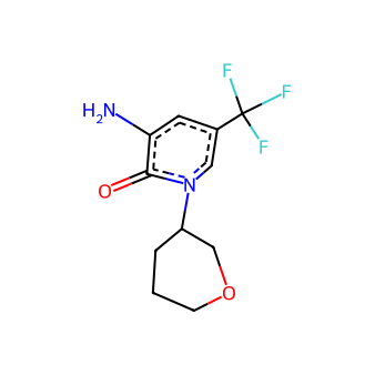 Nc1cc(C(F)(F)F)cn(C2CCCOC2)c1=O